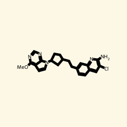 COc1ncnc2c1ccn2C1CCC(CCc2ccc3cc(Cl)c(N)nc3c2)C1